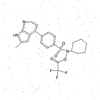 Cc1cc2c(-c3ccc(S(=O)(=O)N(OC(=O)C(F)(F)F)C4CCCCC4)cc3)ccnc2[nH]1